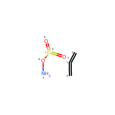 C=C=C.NO[SH](=O)=O